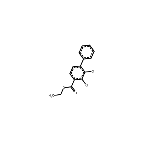 CCOC(=O)c1ccc(-c2ccccc2)c(Cl)c1Cl